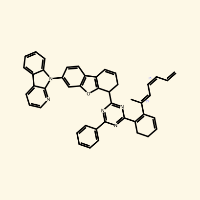 C=C/C=C\C=C(/C)C1=C(c2nc(-c3ccccc3)nc(C3CC=Cc4c3oc3cc(-n5c6ccccc6c6cccnc65)ccc43)n2)CCC=C1